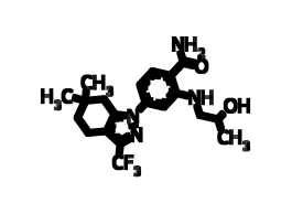 CC(O)CNc1cc(-n2nc(C(F)(F)F)c3c2CC(C)(C)CC3)ccc1C(N)=O